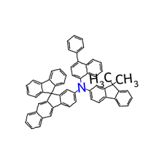 CC1(C)c2ccccc2-c2ccc(N(c3ccc4c(c3)C3(c5ccccc5-c5ccccc53)c3cc5ccccc5cc3-4)c3ccc(-c4ccccc4)c4ccccc34)cc21